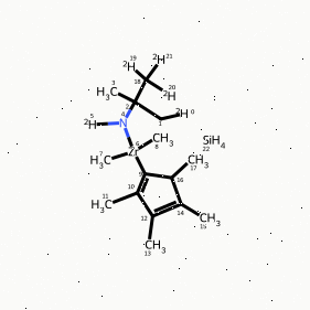 [2H]CC(C)([N]([2H])[Zr]([CH3])([CH3])[C]1=C(C)C(C)=C(C)C1C)C([2H])([2H])[2H].[SiH4]